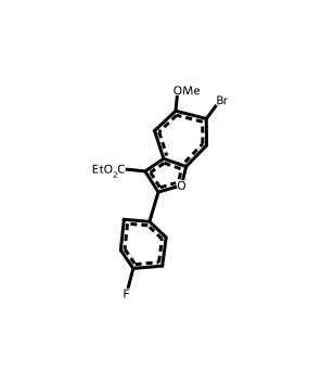 CCOC(=O)c1c(-c2ccc(F)cc2)oc2cc(Br)c(OC)cc12